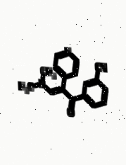 CN(C)C=C(C(=O)c1cccc(C#N)c1)c1ccncc1